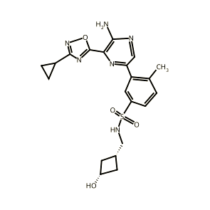 Cc1ccc(S(=O)(=O)NC[C@H]2C[C@@H](O)C2)cc1-c1cnc(N)c(-c2nc(C3CC3)no2)n1